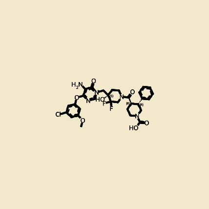 COc1cc(Cl)cc(Oc2ncn(C[C@@]3(O)CCN(C(=O)[C@@H]4CCN(C(=O)O)C[C@H]4c4ccccc4)CC3(F)F)c(=O)c2N)c1